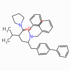 CC(C)C(CC(Cc1ccc(-c2ccccc2)cc1)N(Cc1ccccc1)Cc1ccccc1)C(=O)N1CCCC1